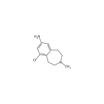 CN1CCc2cc(N)cc(Cl)c2CC1